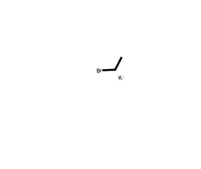 CCBr.[K]